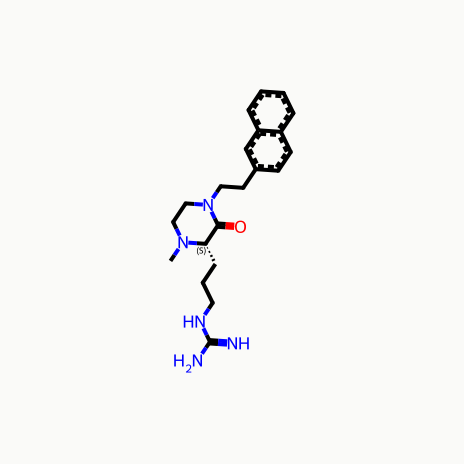 CN1CCN(CCc2ccc3ccccc3c2)C(=O)[C@@H]1CCCNC(=N)N